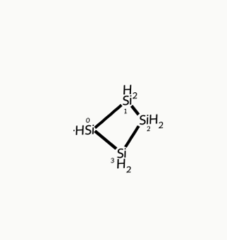 [SiH]1[SiH2][SiH2][SiH2]1